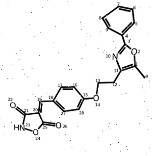 Cc1oc(-c2ccccc2)nc1CCOc1ccc(/C=C2/C(=O)NOC2=O)cc1